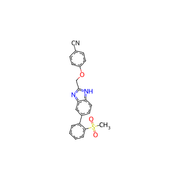 CS(=O)(=O)c1ccccc1-c1ccc2[nH]c(COc3ccc(C#N)cc3)nc2c1